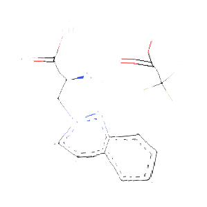 N[C@@H](C[n+]1ccc2ccccc2n1)C(=O)O.O=C([O-])C(F)(F)F